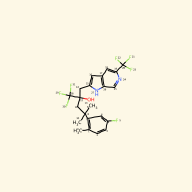 Cc1ccc(F)cc1C(C)(C)CC(O)(Cc1cc2cc(C(F)(F)F)ncc2[nH]1)C(F)(F)F